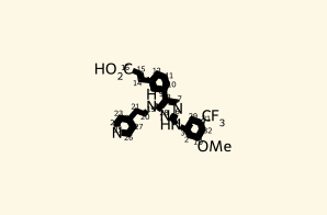 COc1cc(Nc2ncc(-c3cccc(C=CC(=O)O)c3)c(NCCc3ccncc3)n2)cc(C(F)(F)F)c1